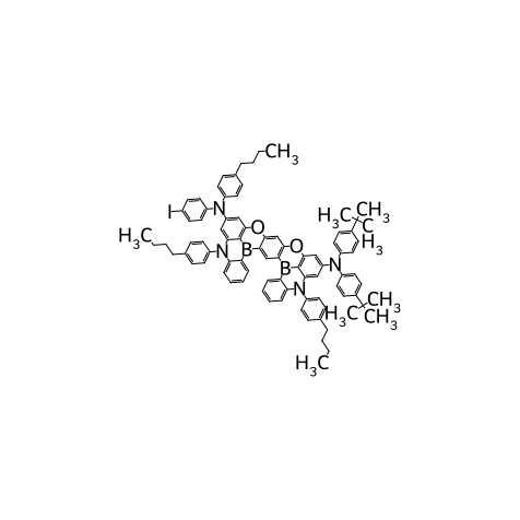 CCCCc1ccc(N(c2ccc(I)cc2)c2cc3c4c(c2)N(c2ccc(CCCC)cc2)c2ccccc2B4c2cc4c(cc2O3)Oc2cc(N(c3ccc(C(C)(C)C)cc3)c3ccc(C(C)(C)C)cc3)cc3c2B4c2ccccc2N3c2ccc(CCCC)cc2)cc1